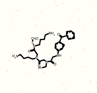 CC(C)CN(CC(=O)N(CCCCN)CC(=O)N(CC=O)CCCCN)C(=O)CNc1ccc(C(=O)c2ccccc2)cc1